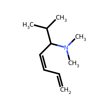 C=C/C=C\C(C(C)C)N(C)C